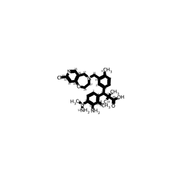 Cc1ccc(C(c2ccc(N(C)N)c(N)c2C)C(C)(C)C(=O)O)cc1CN1CCOc2cc(Cl)ncc2C1